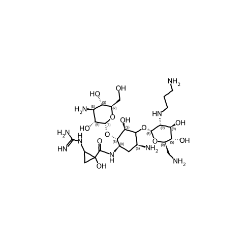 N=C(N)NC1CC1(O)C(=O)N[C@@H]1C[C@H](N)C(O[C@H]2O[C@H](CN)[C@@H](O)[C@H](O)[C@H]2NCCCN)[C@H](O)[C@H]1O[C@H]1O[C@H](CO)[C@@H](O)[C@H](N)[C@H]1O